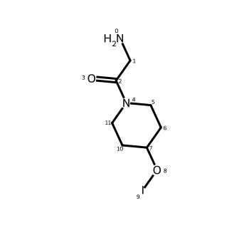 NCC(=O)N1CCC(OI)CC1